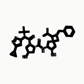 CC(C)C1N(Cc2ccccc2)CC12C[C@@H](O)[C@H](NC(=O)[C@@H]1C[C@@H](O)CN1C(=O)[C@@H](n1cc(C3CC3)nn1)C(C)(C)C)C2